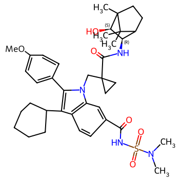 COc1ccc(-c2c(C3CCCCC3)c3ccc(C(=O)NS(=O)(=O)N(C)C)cc3n2CC2(C(=O)N[C@@H]3C4CCC(C)([C@@H]3O)C4(C)C)CC2)cc1